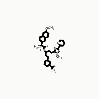 COc1ccc2cc([C@H](C)C(=O)NC(CCc3cccc(C(C)=O)c3)CCc3nc(-c4ccccn4)nn3C)ccc2c1